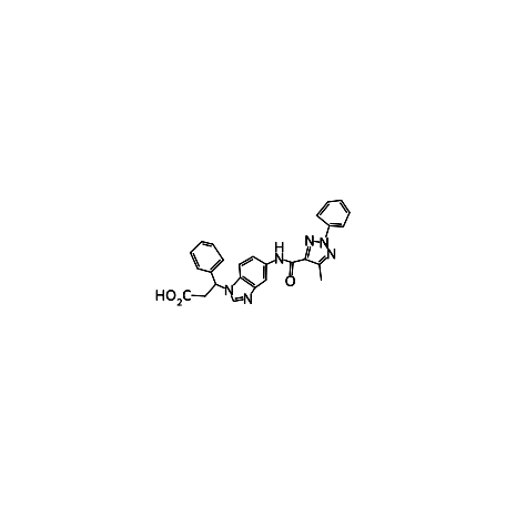 Cc1nn(-c2ccccc2)nc1C(=O)Nc1ccc2c(c1)ncn2C(CC(=O)O)c1ccccc1